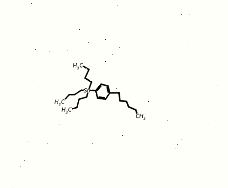 CCCCCCc1cc[c]([Sn]([CH2]CCC)([CH2]CCC)[CH2]CCC)cc1